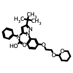 CC(C)(C)c1cc(N(C(=O)O)c2ccccc2)n(-c2cccc(OCCOC3CCCCO3)c2)n1